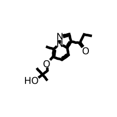 CCC(=O)c1cnn2c(C)c(OCC(C)(C)O)ccc12